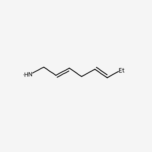 CCC=CCC=CC[NH]